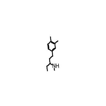 CCC(CCc1ccc(C)c(C)c1)NC